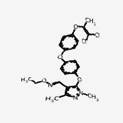 CCO/N=C/c1c(C)nn(C)c1Oc1ccc(Oc2ccc(OC(C)=C(Cl)Cl)cc2)cc1